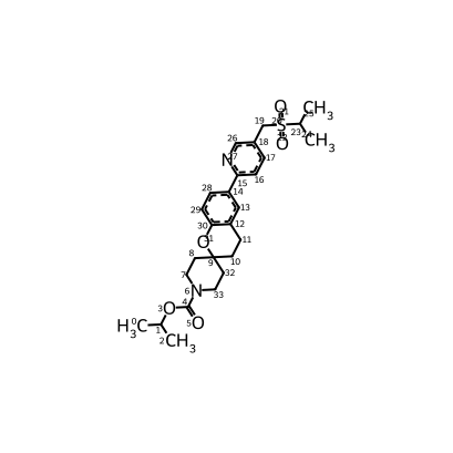 CC(C)OC(=O)N1CCC2(CCc3cc(-c4ccc(CS(=O)(=O)C(C)C)cn4)ccc3O2)CC1